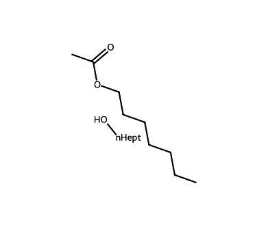 CCCCCCCO.CCCCCCCOC(C)=O